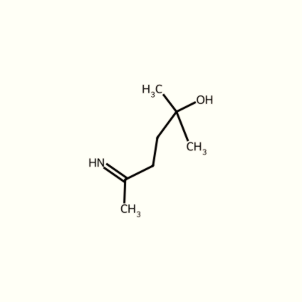 CC(=N)CCC(C)(C)O